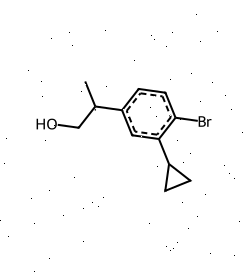 C[C](CO)c1ccc(Br)c(C2CC2)c1